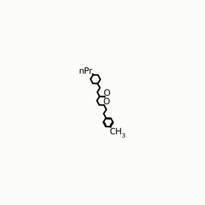 CCCC1CCC(CCC2CCC(CCc3ccc(C)cc3)OC2=O)CC1